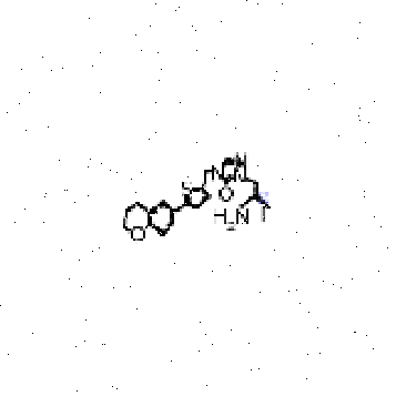 NC/C(=C\F)Cn1ncn(Cc2ccc(-c3ccc4c(c3)CCCO4)s2)c1=O